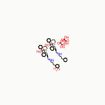 O.O=C(O)C(=O)O.O=C(O)C(=O)O.OC(c1ccccc1)(c1ccccc1)C1(CCC#CCNCCCc2ccccc2)SCCCS1.OC(c1ccccc1)(c1ccccc1)C1(CCC#CCNCCCc2ccccc2)SCCCS1